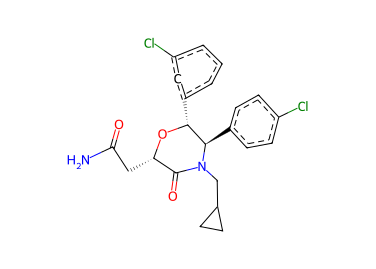 NC(=O)C[C@@H]1O[C@H](c2cccc(Cl)c2)[C@@H](c2ccc(Cl)cc2)N(CC2CC2)C1=O